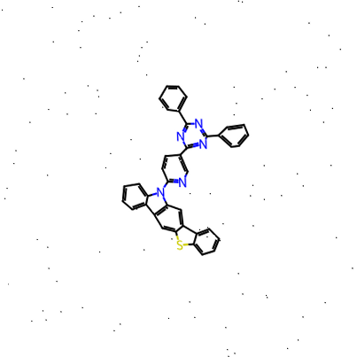 c1ccc(-c2nc(-c3ccccc3)nc(-c3ccc(-n4c5ccccc5c5cc6sc7ccccc7c6cc54)nc3)n2)cc1